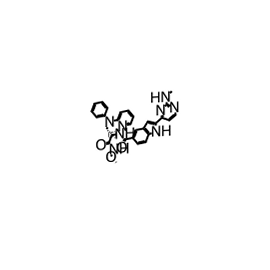 CNc1nccc(-c2cc3cc(C(=O)N[C@@H](CN(c4ccccc4)c4ccccn4)C(=O)NOC)ccc3[nH]2)n1